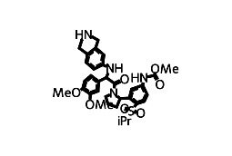 COC(=O)Nc1ccc(S(=O)(=O)C(C)C)c(C2CCCN2C(=O)C(Nc2ccc3c(c2)CNCC3)c2ccc(OC)c(OC)c2)c1